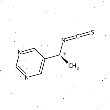 C[C@H](N=C=S)c1cncnc1